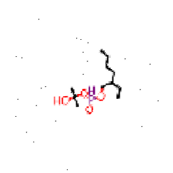 CCCCC(CC)CO[PH](=O)OC(C)(C)O